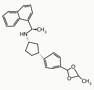 CC1OC(c2ccc([C@@H]3CC[C@H](N[C@H](C)c4cccc5ccccc45)C3)cc2)O1